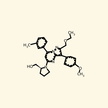 CCOCc1nn2c(-c3cccc(C)c3)cc(N3CCC[C@H]3CO)nc2c1-c1ccc(OC)cc1